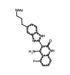 CNCCCc1ccc2[nH]c(-c3c(N)c4c(F)cccc4[nH]c3=O)nc2c1